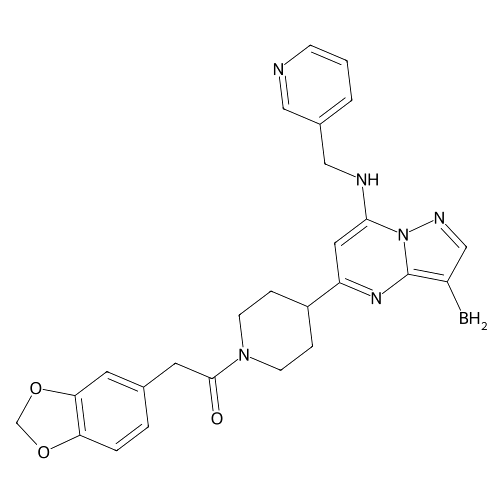 Bc1cnn2c(NCc3cccnc3)cc(C3CCN(C(=O)Cc4ccc5c(c4)OCO5)CC3)nc12